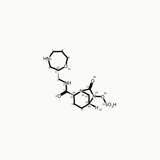 O=C(NC[C@@H]1CNCCCO1)[C@@H]1CC[C@@H]2CN1C(=O)N2OS(=O)(=O)O